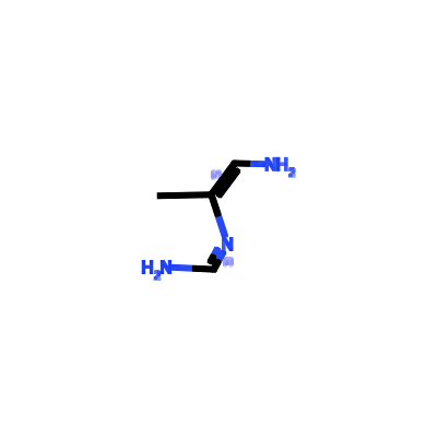 CC(=C/N)/N=C\N